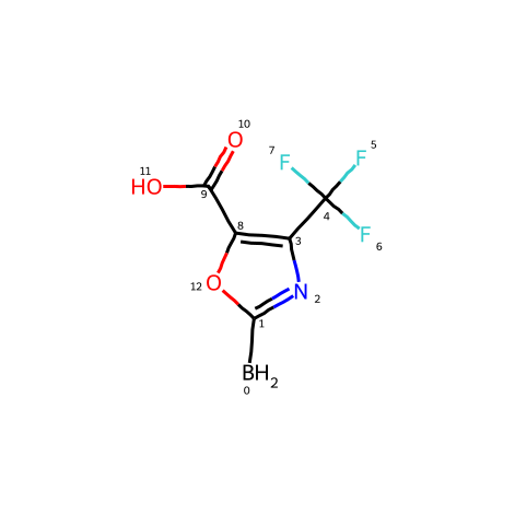 Bc1nc(C(F)(F)F)c(C(=O)O)o1